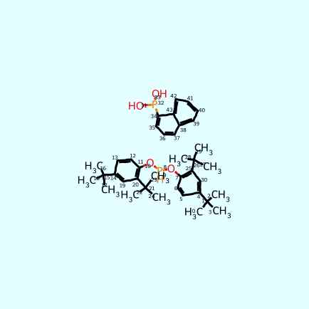 CC(C)(C)c1ccc(OPOc2ccc(C(C)(C)C)cc2C(C)(C)C)c(C(C)(C)C)c1.OP(O)c1cccc2ccccc12